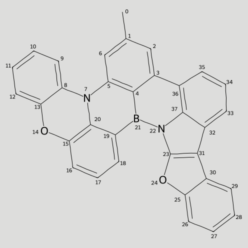 Cc1cc2c3c(c1)N1c4ccccc4Oc4cccc(c41)B3n1c3oc4ccccc4c3c3cccc-2c31